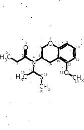 CCC(=O)N(C1COc2cccc(OC)c2C1)C(C)SC